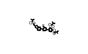 C=C(C)C(=O)OCC1Cc2ccc(-c3ccc(-c4ccc(OC(=O)C(=C)C)c(OC(=O)C(=C)C)c4)cc3F)cc2C1